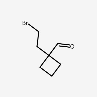 O=CC1(CCBr)CCC1